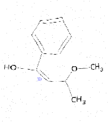 COC(C)/C=C(/O)c1ccccc1